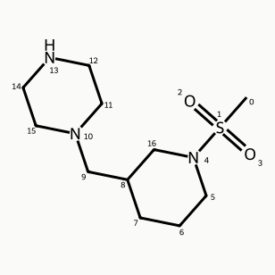 CS(=O)(=O)N1CCCC(CN2CCNCC2)C1